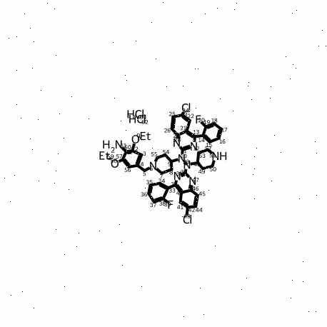 CCOc1cc(CN2CCC(N(c3nc(-c4ccccc4F)c4cc(Cl)ccc4n3)N(c3nc(-c4ccccc4F)c4cc(Cl)ccc4n3)C3CCNCC3)CC2)cc(OCC)c1N.Cl.Cl